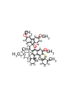 CCC1(CC)CCC2(CC1)c1ccccc1-c1c2c2c(c3cc(OC)c(Sc4c(C)cccc4C)cc13)OC(c1ccc(OC)cc1)(c1ccc(OC)cc1)C=C2